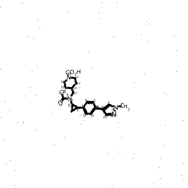 Cn1cc(-c2ccc(C3CC3N(CC3CCN(C(=O)O)CC3)C(=O)C(F)(F)F)cc2)cn1